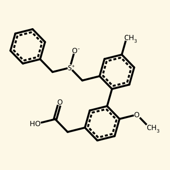 COc1ccc(CC(=O)O)cc1-c1ccc(C)cc1C[S+]([O-])Cc1ccccc1